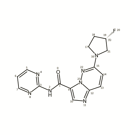 O=C(Nc1ncccn1)c1cnc2ccc(N3CC[C@H](F)C3)nn12